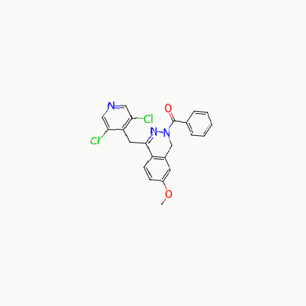 COc1ccc2c(c1)CN(C(=O)c1ccccc1)N=C2Cc1c(Cl)cncc1Cl